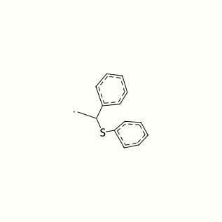 [CH2]C(Sc1ccccc1)c1ccccc1